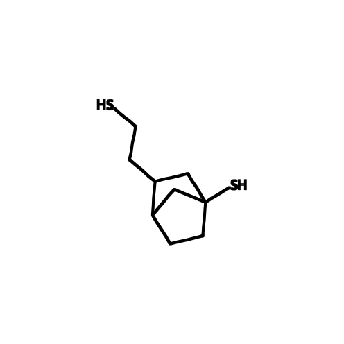 SCCC1CC2(S)CCC1C2